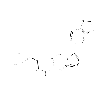 Cc1nc2ccc(-c3c[nH]c4nc(NC5CCC(F)(F)CC5)ncc34)cc2s1